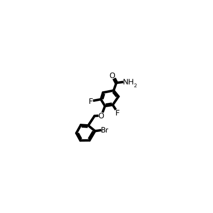 NC(=O)c1cc(F)c(OCc2ccccc2Br)c(F)c1